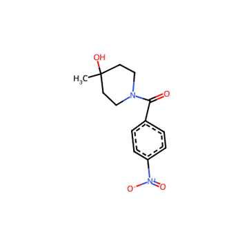 CC1(O)CCN(C(=O)c2ccc([N+](=O)[O-])cc2)CC1